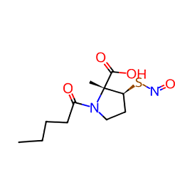 CCCCC(=O)N1CC[C@H](SN=O)[C@@]1(C)C(=O)O